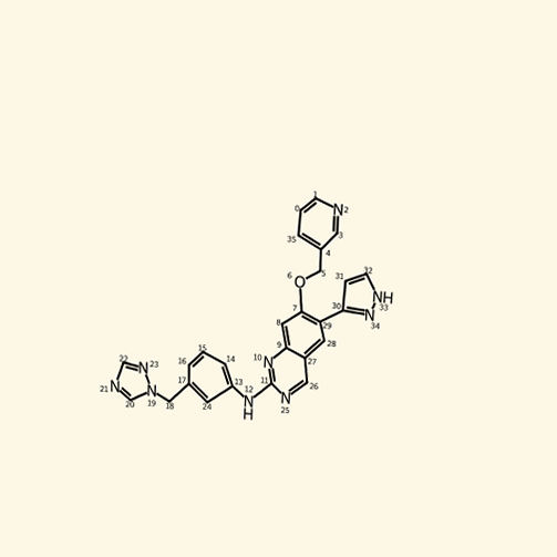 c1cncc(COc2cc3nc(Nc4cccc(Cn5cncn5)c4)ncc3cc2-c2cc[nH]n2)c1